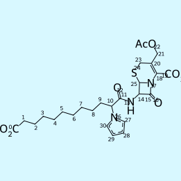 CCOC(=O)CCCCCCCCCC(C(=O)NC1C(=O)N2C(C(=O)O)=C(COC(C)=O)CSC12)n1cccc1